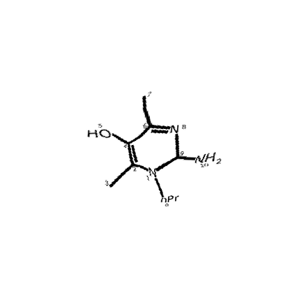 CCCN1C(C)=C(O)C(C)=NC1N